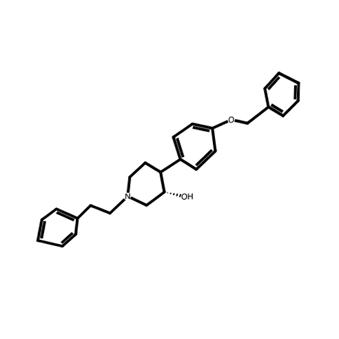 O[C@@H]1CN(CCc2ccccc2)CCC1c1ccc(OCc2ccccc2)cc1